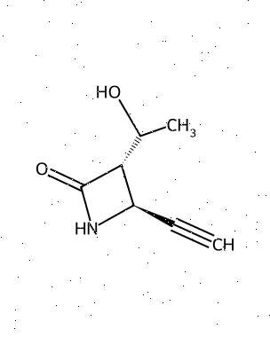 C#C[C@H]1NC(=O)[C@@H]1C(C)O